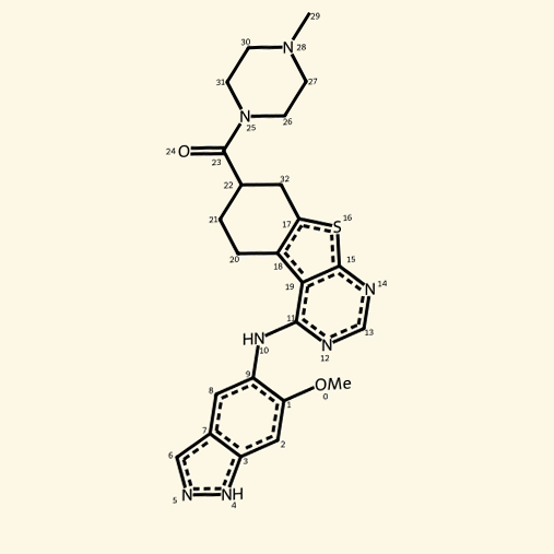 COc1cc2[nH]ncc2cc1Nc1ncnc2sc3c(c12)CCC(C(=O)N1CCN(C)CC1)C3